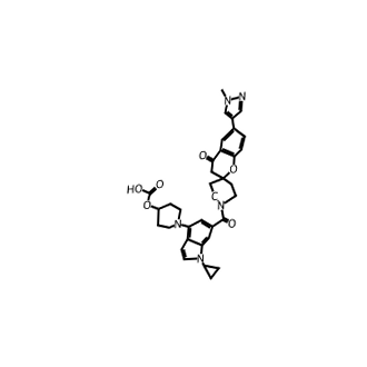 Cn1cc(-c2ccc3c(c2)C(=O)CC2(CCN(C(=O)c4cc(N5CCC(OC(=O)O)CC5)c5ccn(C6CC6)c5c4)CC2)O3)cn1